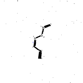 C=C/C=N\SN=C